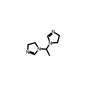 [CH2]C(N1C=NCC1)N1C=NCC1